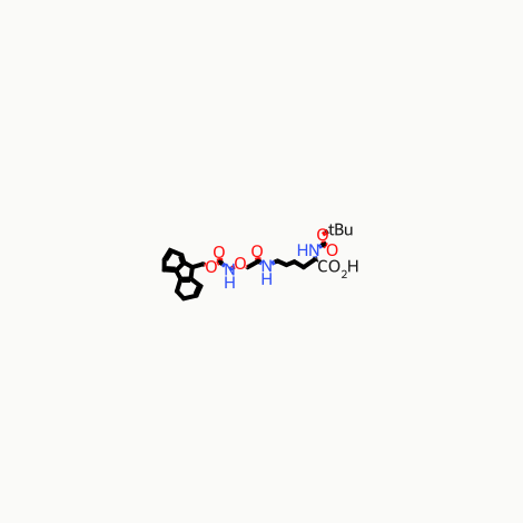 CC(C)(C)OC(=O)N[C@@H](CCCCNC(=O)CONC(=O)OCC1C2=C(CCC=C2)c2ccccc21)C(=O)O